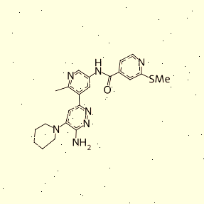 CSc1cc(C(=O)Nc2cnc(C)c(-c3cc(N4CCCCC4)c(N)nn3)c2)ccn1